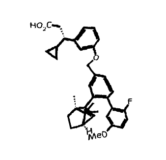 COc1ccc(F)c(-c2ccc(COc3cccc([C@@H](CC(=O)O)C4CC4)c3)cc2C2=C[C@H]3CC[C@]2(C)C3(C)C)c1